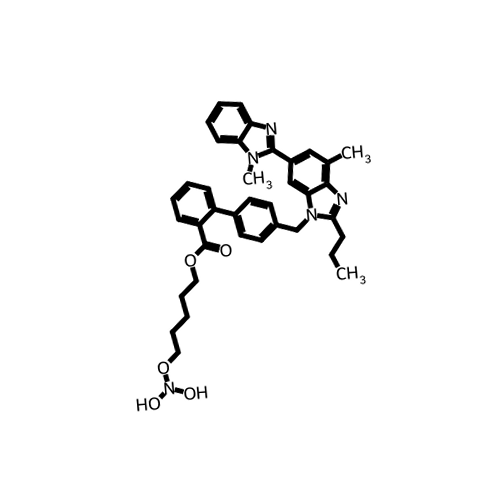 CCCc1nc2c(C)cc(-c3nc4ccccc4n3C)cc2n1Cc1ccc(-c2ccccc2C(=O)OCCCCCON(O)O)cc1